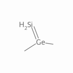 [CH3][Ge]([CH3])=[SiH2]